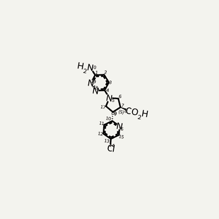 Nc1ccc(N2C[C@@H](C(=O)O)[C@H](c3ccc(Cl)cn3)C2)nn1